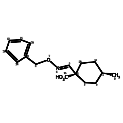 C[C@H]1CC[C@@](/C=N/OCc2ccccc2)(C(=O)O)CC1